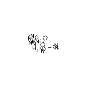 C[C@H](NC(=O)c1c(N)ncn2ccnc12)c1cc2nncc(C#Cc3cnn(C)c3)c2cc1-c1ccccc1